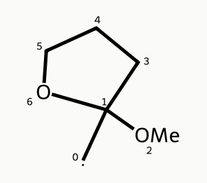 [CH2]C1(OC)CCCO1